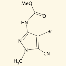 COC(=O)Nc1nn(C)c(C#N)c1Br